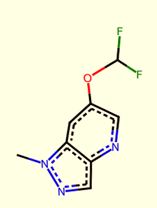 Cn1ncc2ncc(OC(F)F)cc21